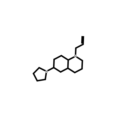 C=CCN1CCCC2CC(N3CCCC3)CCC21